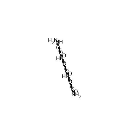 NNCCOCCOCC(=O)NCCOCCCOCC(=O)NCCOCCCOCC(N)=O